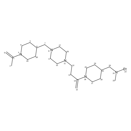 C=C(C)N1CCC(CN2CCN(CCC(=C)N3CCC(CN(C)CC)CC3)CC2)CC1